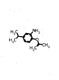 C=C(C)Oc1ccc(C(C)C)cc1N